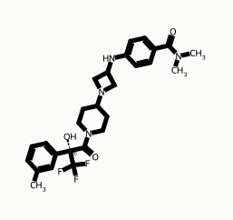 Cc1cccc([C@@](O)(C(=O)N2CCC(N3CC(Nc4ccc(C(=O)N(C)C)cc4)C3)CC2)C(F)(F)F)c1